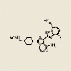 C#Cc1ccc(F)c2cc(-c3nc([C@H]4CC[C@H](CNC(C)=O)CC4)n4ccnc(N)c34)[nH]c12